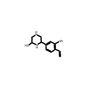 C=Cc1ccc(C2CNCC(S)N2)cc1CCC